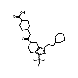 O=C(O)C1CCC(CC(=O)N2CCc3c(C(F)(F)F)nn(CCC4CCCCC4)c3C2)CC1